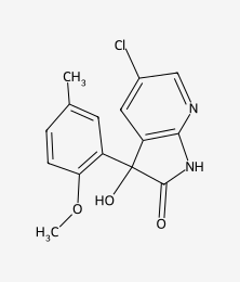 COc1ccc(C)cc1C1(O)C(=O)Nc2ncc(Cl)cc21